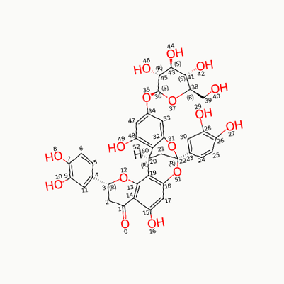 O=C1C[C@H](c2ccc(O)c(O)c2)Oc2c1c(O)cc1c2[C@@H]2C[C@@](c3ccc(O)c(O)c3)(Oc3cc(O[C@@H]4O[C@H](CO)[C@@H](O)[C@H](O)[C@H]4O)cc(O)c32)O1